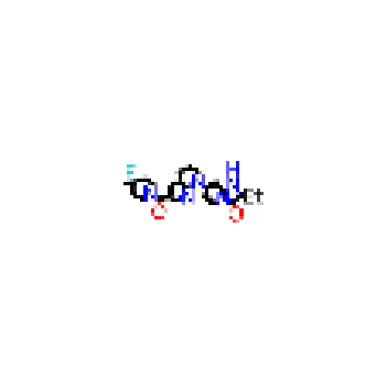 CCC1NC2C=C(N3CCCc4cc(C(=O)N5CCC(C)(F)CC5)cnc43)C=CN2C1=O